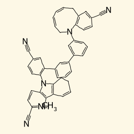 Cc1c2c(n(-c3ccc(C#N)cc3-c3cccc(-c4cccc(N5C/C=C\C=C/Cc6cc(C#N)ccc65)c4)c3)c1/C=C\C(=N)C#N)CCC=C2